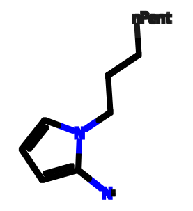 CCCCCCCCn1cccc1[N]